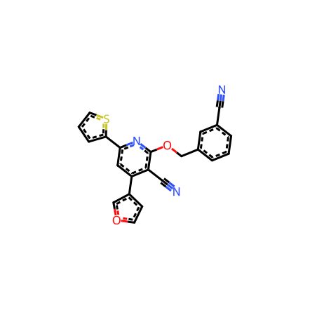 N#Cc1cccc(COc2nc(-c3cccs3)cc(-c3ccoc3)c2C#N)c1